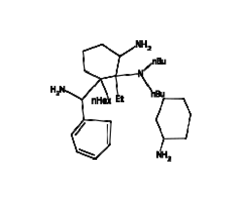 CCCCCCC1(C(N)c2ccccc2)CCCC(N)C1(CC)N(CCCC)CCCC.NC1CCCCC1